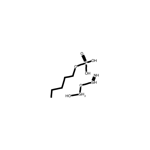 CCCCCOP(=O)(O)O.N=[SiH]O[SiH2]O